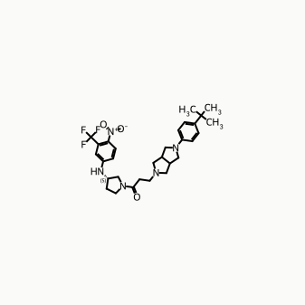 CC(C)(C)c1ccc(N2CC3CN(CCC(=O)N4CC[C@H](Nc5ccc([N+](=O)[O-])c(C(F)(F)F)c5)C4)CC3C2)cc1